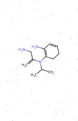 C=C(CN)N(C1=C(N)C=CCC1)C(C)C